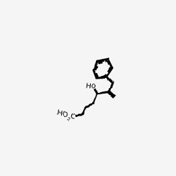 C=C(Cc1ccccc1)C(O)CCCC(=O)O